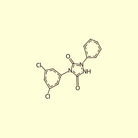 O=c1[nH]n(-c2ccccc2)c(=O)n1-c1cc(Cl)cc(Cl)c1